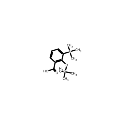 C[Si](C)(C)Oc1c(C(=O)O)cccc1[Si](C)(C)C